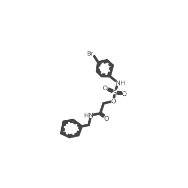 O=C(COS(=O)(=O)Nc1ccc(Br)cc1)NCc1ccccc1